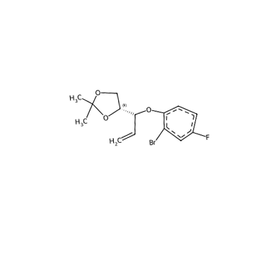 C=CC(Oc1ccc(F)cc1Br)[C@H]1COC(C)(C)O1